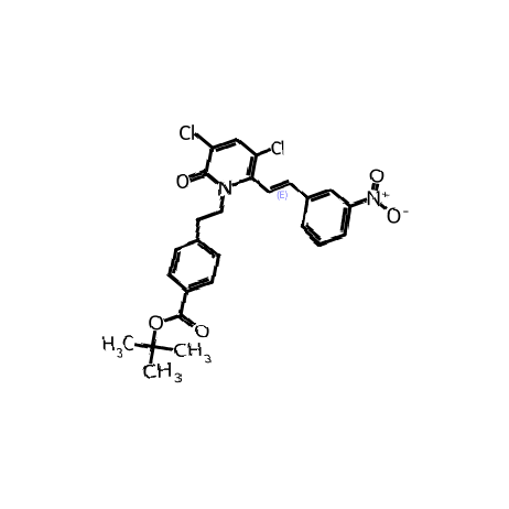 CC(C)(C)OC(=O)c1ccc(CCn2c(/C=C/c3cccc([N+](=O)[O-])c3)c(Cl)cc(Cl)c2=O)cc1